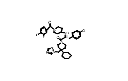 O=C(c1ccc(F)c(F)c1)N1CCC(N[C@H](Cc2ccc(Cl)cc2)C(=O)N2CCC(Cn3cncn3)(C3CCCCC3)CC2)CC1